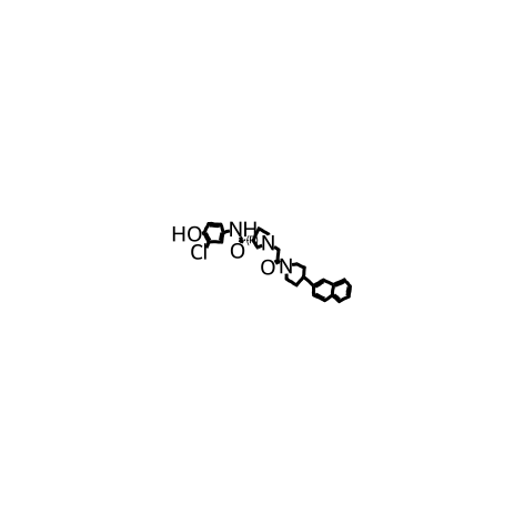 O=C(Nc1ccc(O)c(Cl)c1)[C@@H]1CCN(CC(=O)N2CCC(c3ccc4ccccc4c3)CC2)C1